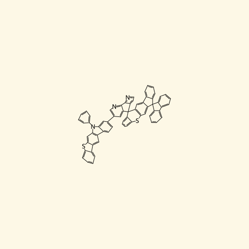 c1ccc(-n2c3cc(-c4cnc5c(c4)C4(c6ccccc6Sc6cc7c(cc64)-c4ccccc4C74c6ccccc6-c6ccccc64)c4cccnc4-5)ccc3c3cc4c(cc32)sc2ccccc24)cc1